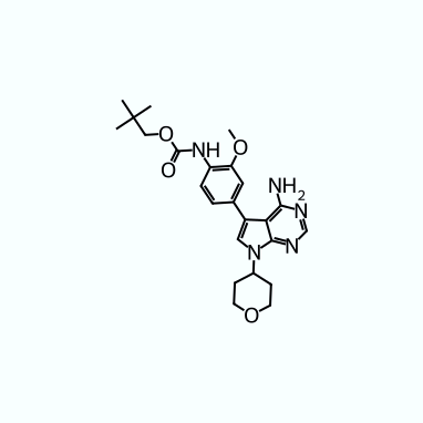 COc1cc(-c2cn(C3CCOCC3)c3ncnc(N)c23)ccc1NC(=O)OCC(C)(C)C